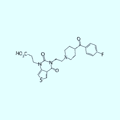 O=C(O)CCn1c(=O)n(CCN2CCC(C(=O)c3ccc(F)cc3)CC2)c(=O)c2cscc21